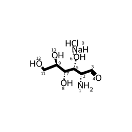 Cl.N[C@@H](C=O)[C@@H](O)[C@H](O)[C@H](O)CO.[NaH]